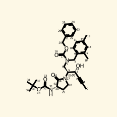 CC#C[C@@H](O)[C@H](CN(Cc1ccc(C)cc1C)C(=O)OCc1ccccc1)N1CC[C@H](NC(=O)OC(C)(C)C)C1=O